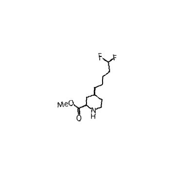 COC(=O)C1CC(CCCCC(F)F)CCN1